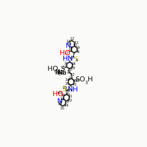 O=S(=O)(O)c1cc(NC(=S)c2ccc3cccnc3c2O)ccc1C=Cc1ccc(NC(=S)c2ccc3cccnc3c2O)cc1S(=O)(=O)O.[Na].[Na]